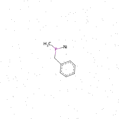 C[P]([Ni])Cc1ccccc1